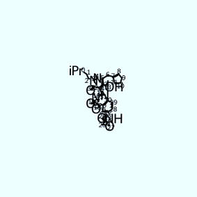 CC(C)CCn1nc(CC2=CCCC2)c(O)c(C2=NS(=O)(=O)c3cc(NS(C)(=O)=O)ccc3N2)c1=O